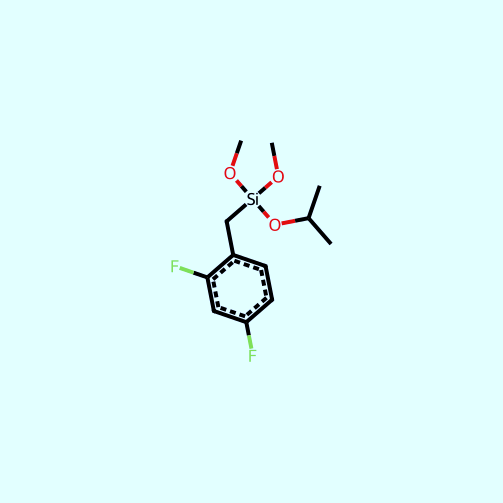 CO[Si](Cc1ccc(F)cc1F)(OC)OC(C)C